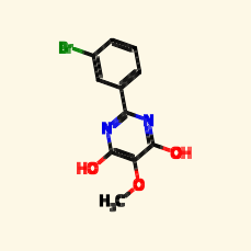 COc1c(O)nc(-c2cccc(Br)c2)nc1O